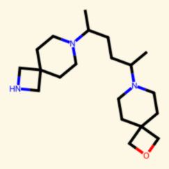 CC(CCC(C)N1CCC2(CC1)COC2)N1CCC2(CC1)CNC2